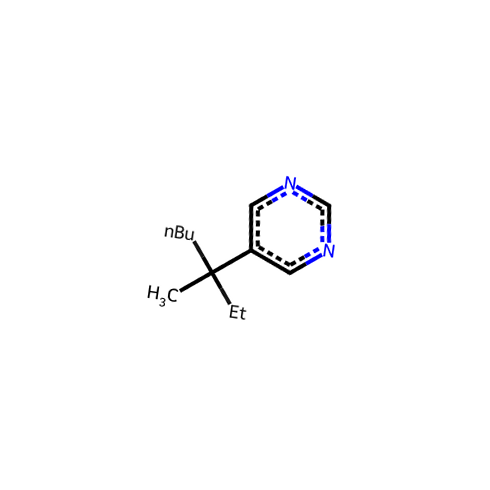 CCCCC(C)(CC)c1cncnc1